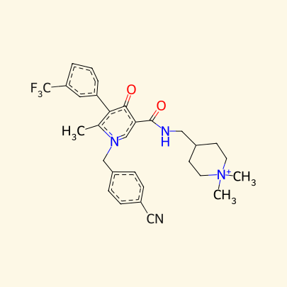 Cc1c(-c2cccc(C(F)(F)F)c2)c(=O)c(C(=O)NCC2CC[N+](C)(C)CC2)cn1Cc1ccc(C#N)cc1